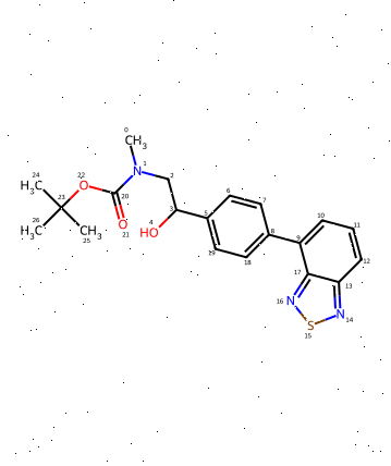 CN(CC(O)c1ccc(-c2cccc3nsnc23)cc1)C(=O)OC(C)(C)C